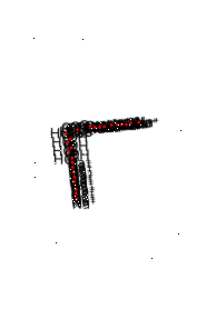 O=S(O)(O)=S.O=S(O)(O)=S.O=S(O)(O)=S.O=S(O)(O)=S.O=S(O)(O)=S.O=S(O)(O)=S.[Na+].[Na+].[Na+].[Na+].[Na+].[Na+].[Na+].[Na+].[Na+].[Na+].[Na+].[Na+].[Na+].[Na+].[Na+].[Na+].[Na+].[Na+].[Na+].[Na+].[Na+].[Na+].[Na+].[Na+].[Na+].[Na+].[Na+].[Na+].[Na+].[Na+].[Na+].[Na+].[Na+].[Na+].[Na+].[Na+].[Na+].[Na+].[Na+]